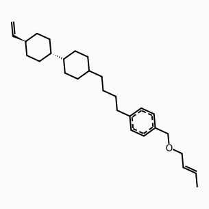 C=C[C@H]1CC[C@H](C2CCC(CCCCc3ccc(COC/C=C/C)cc3)CC2)CC1